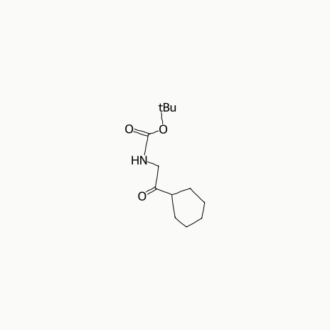 CC(C)(C)OC(=O)NCC(=O)C1CCCCC1